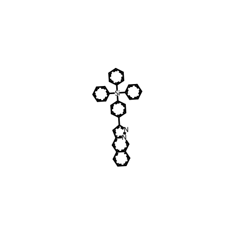 c1ccc([Si](c2ccccc2)(c2ccccc2)c2ccc(-c3cc4cc5ccccc5cn4n3)cc2)cc1